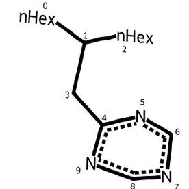 CCCCCCC(CCCCCC)Cc1ncncn1